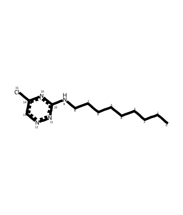 CCCCCCCCCNc1nncc(Cl)n1